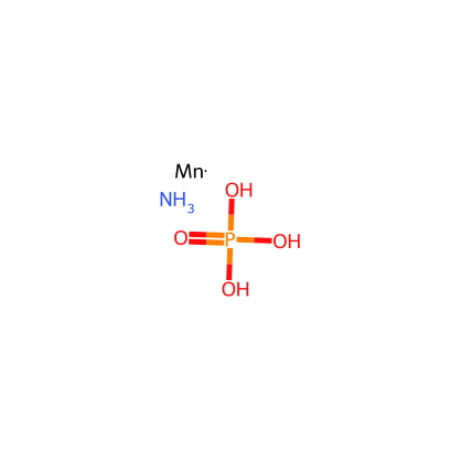 N.O=P(O)(O)O.[Mn]